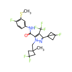 CSc1cc(NC(=O)c2c(C(F)(F)F)c(C34CC(F)(C3)C4)nn2CC2(C)CC(F)(F)C2)ccc1F